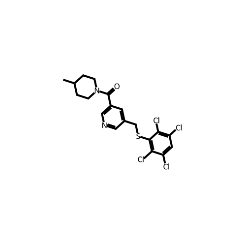 CC1CCN(C(=O)c2cncc(CSc3c(Cl)c(Cl)cc(Cl)c3Cl)c2)CC1